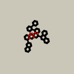 c1ccc(-c2ccccc2-c2c(-c3ccccc3)cccc2N(c2ccc(-c3cc4ccccc4c4ccccc34)cc2)c2cccc(-c3ccc4ccccc4c3)c2)cc1